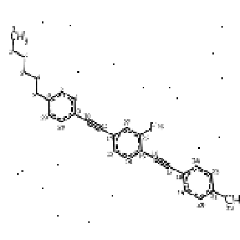 CCCCCCc1ccc(C#Cc2ccc(C#Cc3ccc(C)cc3)c(F)c2)cc1